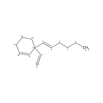 CCCCC=CC1(C=O)C=CCCC1